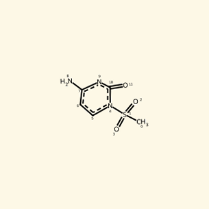 CS(=O)(=O)n1ccc(N)nc1=O